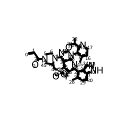 C=CC(=O)N1CCN2c3nc(=O)n(-c4c(C)ccnc4C(C)C)c4nc(-c5c(C)ccc6[nH]ncc56)c(F)c(c34)S(=O)(=O)CC2C1